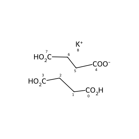 O=C(O)CCC(=O)O.O=C([O-])CCC(=O)O.[K+]